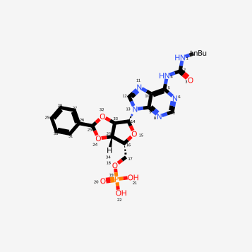 CCCCNC(=O)Nc1ncnc2c1ncn2[C@@H]1O[C@H](COP(=O)(O)O)[C@@H]2OC(c3ccccc3)OC21